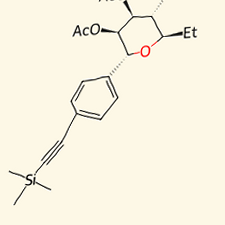 CC[C@H]1O[C@H](c2ccc(C#C[Si](C)(C)C)cc2)[C@@H](OC(C)=O)[C@@H](OC(C)=O)[C@@H]1C